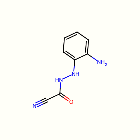 N#CC(=O)NNc1ccccc1N